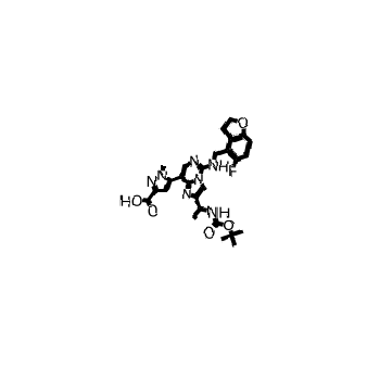 CC(NC(=O)OC(C)(C)C)c1cn2c(NCc3c(F)ccc4c3CCO4)ncc(-c3cc(C(=O)O)nn3C)c2n1